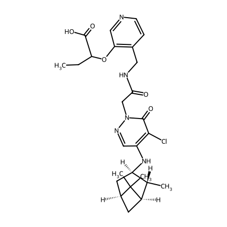 CCC(Oc1cnccc1CNC(=O)Cn1ncc(N[C@@H]2C[C@@H]3C[C@H]([C@H]2C)C3(C)C)c(Cl)c1=O)C(=O)O